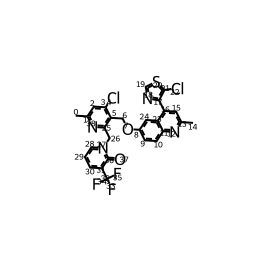 Cc1cc(Cl)c(COc2ccc3nc(C)cc(-c4ncsc4Cl)c3c2)c(Cn2cccc(C(F)(F)F)c2=O)n1